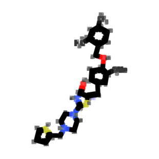 COc1cc(/C=C2/SC(N3CCN(Cc4cccs4)CC3)=NC2=O)ccc1OCc1ccc(C(F)(F)F)cc1C(F)(F)F